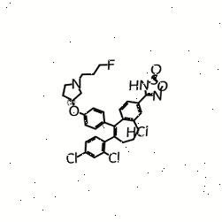 Cl.O=S1NC(c2ccc3c(c2)CCCC(c2ccc(Cl)cc2Cl)=C3c2ccc(O[C@H]3CCN(CCCF)C3)cc2)=NO1